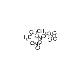 CCc1ccccc1-c1ccc(N(c2ccc(-c3cccc4c3-c3ccccc3C43c4ccccc4-c4ccccc43)cc2)c2ccc3c4ccccc4n(-c4ccccc4)c3c2)cc1CC